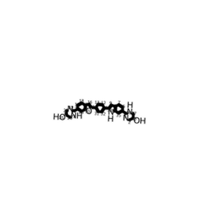 OC1CN=C(c2ccc3cc(-c4ccc(-c5cc6ccc(C7=NCC(O)CN7)cc6o5)cc4)[nH]c3c2)NC1